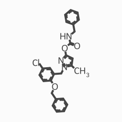 Cc1cc(OC(=O)NCc2ccccc2)nn1Cc1cc(Cl)ccc1OCc1ccccc1